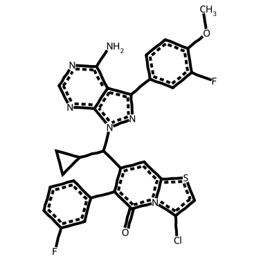 COc1ccc(-c2nn(C(c3cc4scc(Cl)n4c(=O)c3-c3cccc(F)c3)C3CC3)c3ncnc(N)c23)cc1F